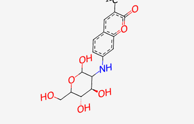 [11CH3]c1cc2ccc(NC3C(O)OC(CO)[C@@H](O)[C@@H]3O)cc2oc1=O